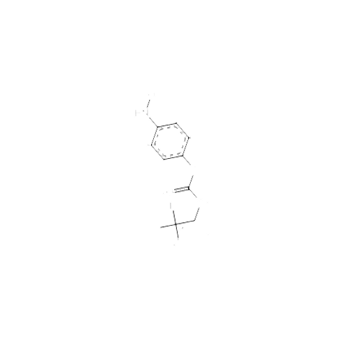 C[C@@H](OC(=O)Oc1ccc(NO)cc1)C(F)(F)F